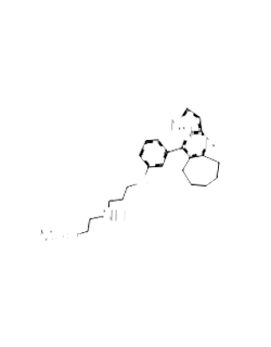 COCCNCCCOc1cccc(-c2c3c(nc4ccnn24)CCCCC3)c1